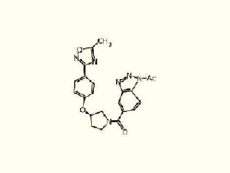 CC(=O)n1nnc2cc(C(=O)N3CC[C@@H](Oc4ccc(-c5noc(C)n5)cc4)C3)ccc21